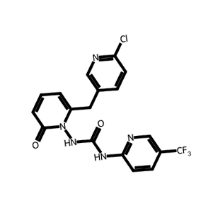 O=C(Nc1ccc(C(F)(F)F)cn1)Nn1c(Cc2ccc(Cl)nc2)cccc1=O